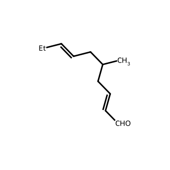 CCC=CCC(C)CC=CC=O